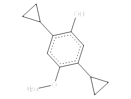 CC(C)(C)Oc1cc(C2CC2)c(O)cc1C1CC1